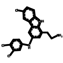 NCCc1cc(Nc2ccc(Cl)c(Cl)c2)cc2c1[nH]c1ccc(Cl)cc12